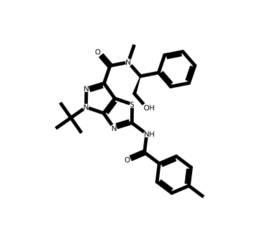 Cc1ccc(C(=O)Nc2nc3c(s2)c(C(=O)N(C)[C@H](CO)c2ccccc2)nn3C(C)(C)C)cc1